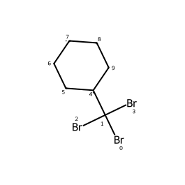 BrC(Br)(Br)[C]1CC[CH]CC1